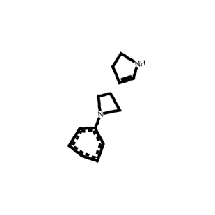 C1=CNCC1.c1ccc(N2CCC2)cc1